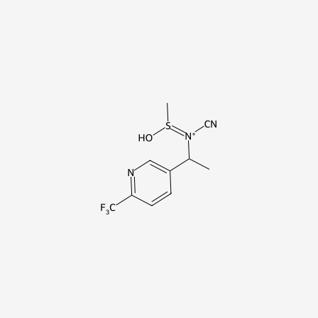 CC(c1ccc(C(F)(F)F)nc1)[N+](C#N)=S(C)O